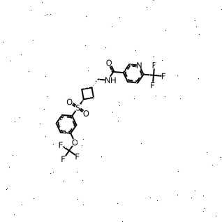 O=C(NC[C@H]1C[C@H](S(=O)(=O)c2cccc(OC(F)(F)F)c2)C1)c1ccc(C(F)(F)F)nc1